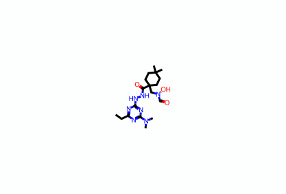 CCc1nc(NNC(=O)C2(CN(O)C=O)CCC(C)(C)CC2)nc(N(C)C)n1